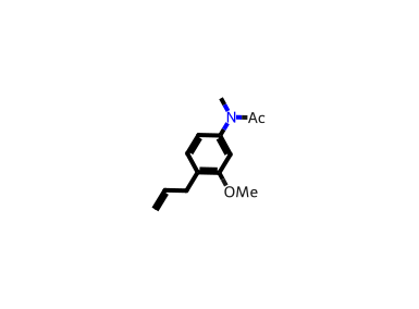 C=CCc1ccc(N(C)C(C)=O)cc1OC